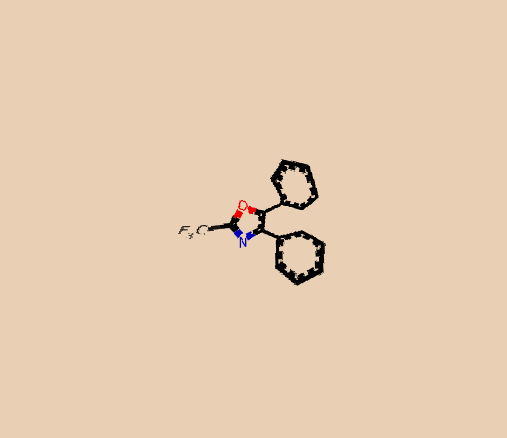 FC(F)(F)c1nc(-c2ccccc2)c(-c2ccccc2)o1